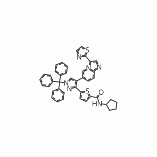 O=C(NC1CCCC1)c1ccc(-c2nn(C(c3ccccc3)(c3ccccc3)c3ccccc3)cc2-c2ccc3ncc(-c4nccs4)n3c2)s1